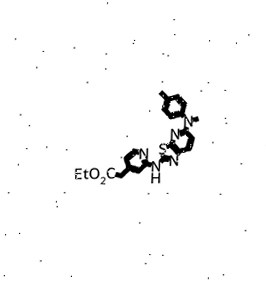 CCOC(=O)Cc1ccnc(Nc2nc3ccc(N(C)c4ccc(C)cc4)nc3s2)c1